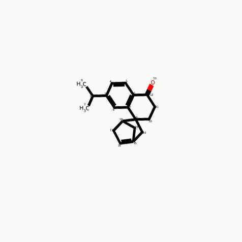 CC(C)c1ccc2c(c1)C1(CCC2=O)CC2=CCC1C2